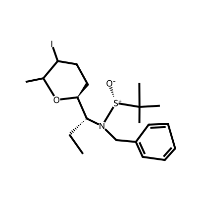 CC[C@H]([C@@H]1CCC(I)C(C)O1)N(Cc1ccccc1)[S@+]([O-])C(C)(C)C